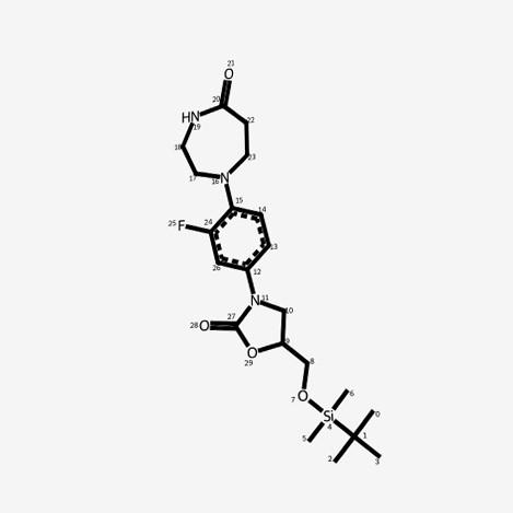 CC(C)(C)[Si](C)(C)OCC1CN(c2ccc(N3CCNC(=O)CC3)c(F)c2)C(=O)O1